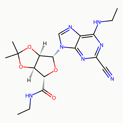 CCNC(=O)[C@H]1O[C@@H](n2cnc3c(NCC)nc(C#N)nc32)[C@@H]2OC(C)(C)O[C@@H]21